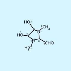 CN1C(O)C(O)N(C)C1C=O